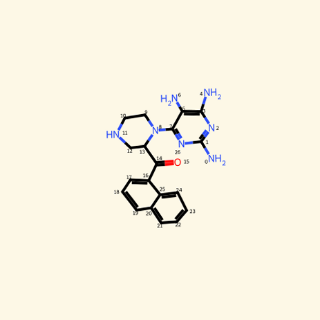 Nc1nc(N)c(N)c(N2CCNCC2C(=O)c2cccc3ccccc23)n1